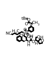 CN(C(=O)OC(C)(C)C)c1cccc(S(=O)(=O)N(C[C@H](O)[C@H](Cc2ccccc2)NC(=O)O[C@H]2CO[C@H]3OCC[C@H]32)CC(C)(C)CCCC#N)c1